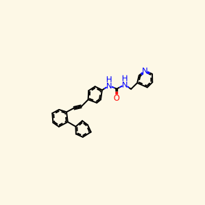 O=C(NCc1cccnc1)Nc1ccc(C#Cc2ccccc2-c2ccccc2)cc1